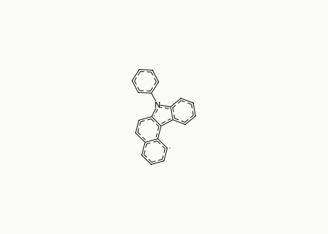 [c]1cccc2ccc3c(c12)c1ccccc1n3-c1ccccc1